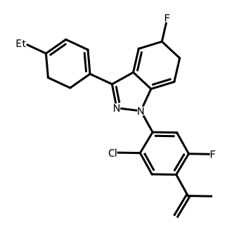 C=C(C)c1cc(Cl)c(-n2nc(C3=CC=C(CC)CC3)c3c2=CCC(F)C=3)cc1F